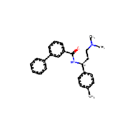 Cc1ccc([C@H](CCN(C)C)NC(=O)c2cccc(-c3ccccc3)c2)cc1